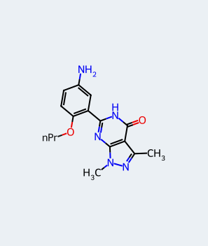 CCCOc1ccc(N)cc1-c1nc2c(c(C)nn2C)c(=O)[nH]1